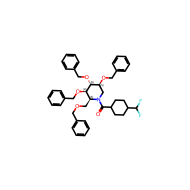 O=C(C1CCC(C(F)F)CC1)N1C[C@H](OCc2ccccc2)[C@@H](OCc2ccccc2)[C@H](OCc2ccccc2)[C@@H]1COCc1ccccc1